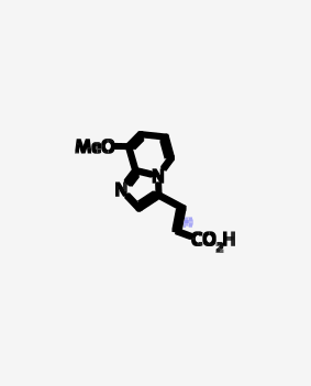 COc1cccn2c(/C=C/C(=O)O)cnc12